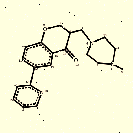 CN1CCN(CC2COc3ccc(-c4ccccn4)cc3C2=O)CC1